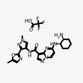 Cc1cnc(-c2nn(C)cc2NC(=O)c2cnn3ccc(N[C@@H]4CCCC[C@@H]4N)nc23)o1.O=C(O)C(F)(F)F